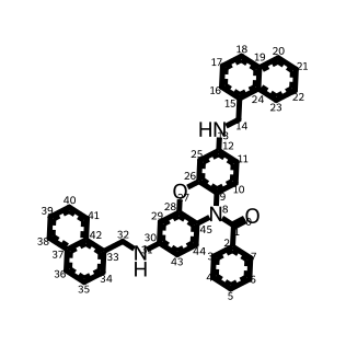 O=C(c1ccccc1)N1c2ccc(NCc3cccc4ccccc34)cc2Oc2cc(NCc3cccc4ccccc34)ccc21